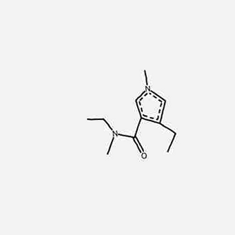 CCc1cn(C)cc1C(=O)N(C)CC